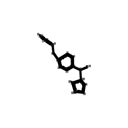 [N-]=[N+]=NCc1ccc(C(F)c2ccon2)cc1